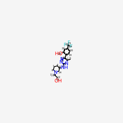 Cc1nc(N[C@@H]2CCCN([C@@H](C)CO)C2)nnc1-c1ccc(C(F)(F)F)cc1O